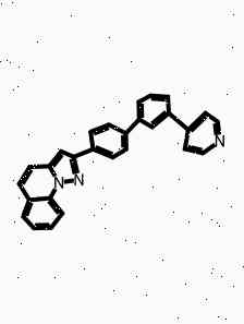 c1cc(-c2ccncc2)cc(-c2ccc(-c3cc4ccc5ccccc5n4n3)cc2)c1